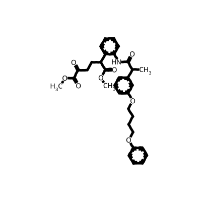 COC(=O)C(=O)CCC(C(=O)OC)c1ccccc1NC(=O)C(C)c1cccc(OCCCCOc2ccccc2)c1